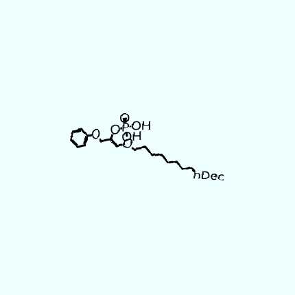 CCCCCCCCCCCCCCCCCCOCC(COc1ccccc1)OP(=O)(O)O